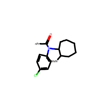 CCCC(=O)N(c1ccc(Cl)cc1)C1CCCCCC1NC